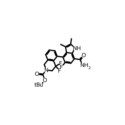 Cc1[nH]c2c(C(N)=O)cc(F)c(-c3cccc4c3C(F)(F)CN(C(=O)OC(C)(C)C)C4)c2c1C